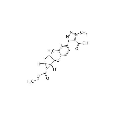 CCOC(=O)[C@@H]1[C@@H]2CC[C@@H](Oc3ccc(-c4nnn(C)c4C(=O)O)nc3C)[C@@H]21